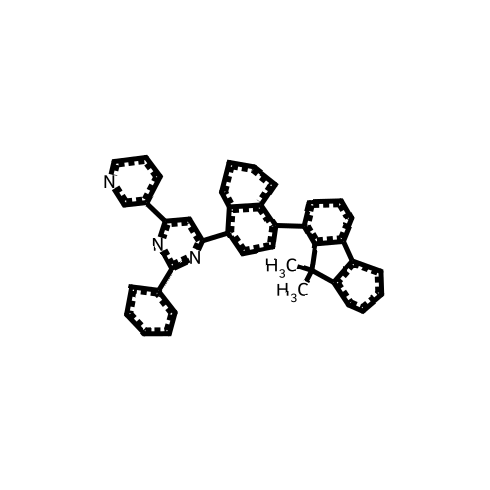 CC1(C)c2ccccc2-c2cccc(-c3ccc(-c4cc(-c5cccnc5)nc(-c5ccccc5)n4)c4ccccc34)c21